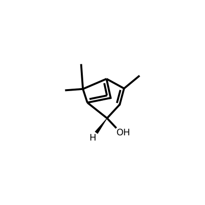 CC1=C[C@H](O)C2=C=C1C2(C)C